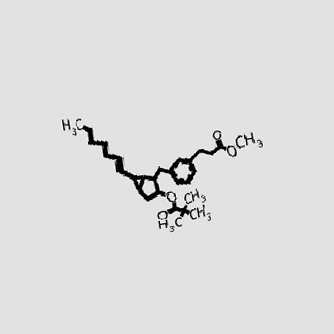 CCCCC/C=C/C1C2CC(OC(=O)C(C)(C)C)C(Cc3cccc(CCC(=O)OC)c3)C12